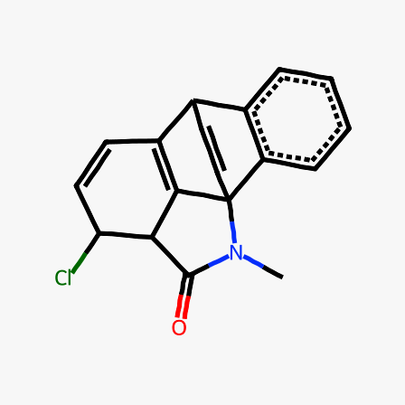 CN1C(=O)C2C3=C(C=CC2Cl)C2C=CC31c1ccccc12